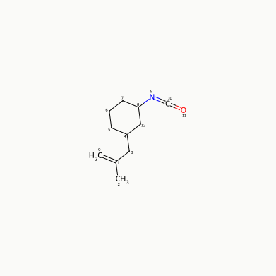 C=C(C)CC1CCCC(N=C=O)C1